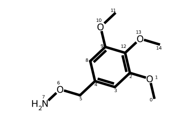 COc1cc(CON)cc(OC)c1OC